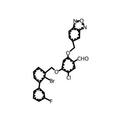 O=Cc1cc(Cl)c(OCc2cccc(-c3cccc(F)c3)c2Br)cc1OCc1ccc2nonc2c1